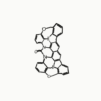 O=C1N2c3cccc4c3B3c5c(cccc5-c5cc6cc7c8c(c6c2c53)N1c1cccc2c1B8c1c(cccc1-7)O2)O4